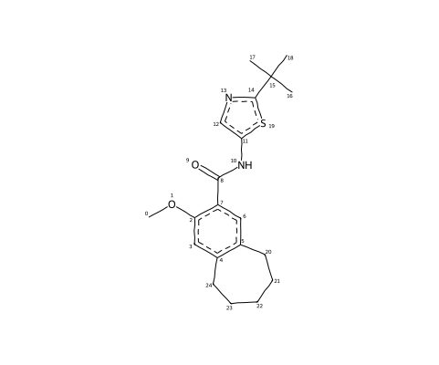 COc1cc2c(cc1C(=O)Nc1cnc(C(C)(C)C)s1)CCCCC2